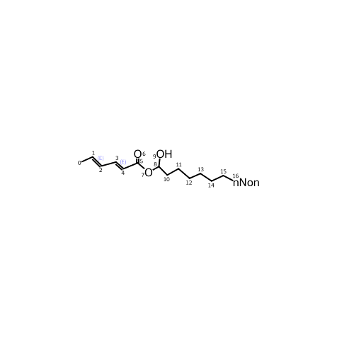 C/C=C/C=C/C(=O)OC(O)CCCCCCCCCCCCCCC